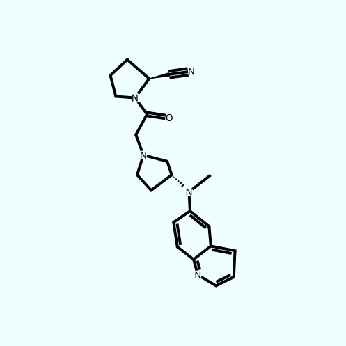 CN(c1ccc2ncccc2c1)[C@@H]1CCN(CC(=O)N2CCC[C@H]2C#N)C1